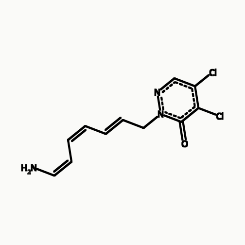 N\C=C/C=C\C=C\Cn1ncc(Cl)c(Cl)c1=O